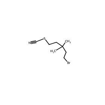 CC(C)(CCBr)CCSC#N